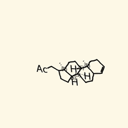 CC(=O)CC1CC[C@H]2[C@@H]3CCC4C=CCC[C@]4(C)[C@H]3CC[C@]12C